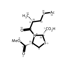 COC(=O)[C@H]1CS[C@@H](C(=O)O)N1C(=O)[C@H](C)CSC(C)=O